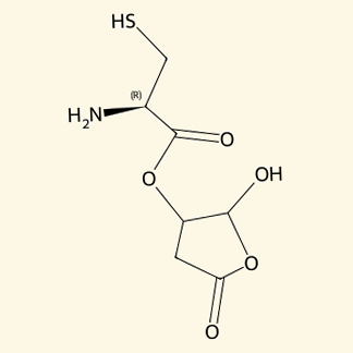 N[C@@H](CS)C(=O)OC1CC(=O)OC1O